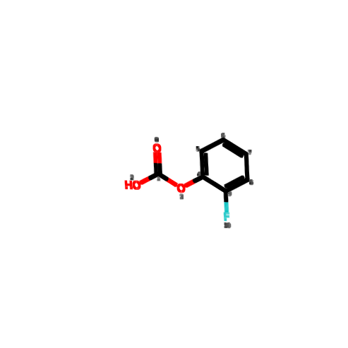 O=C(O)Oc1ccccc1F